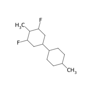 CC1CCC(C2CC(F)C(C)C(F)C2)CC1